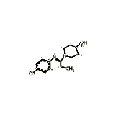 CSC(=Nc1ccc(Cl)cc1)N1CCC(O)CC1